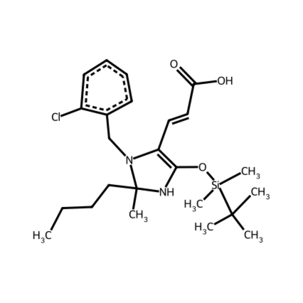 CCCCC1(C)NC(O[Si](C)(C)C(C)(C)C)=C(C=CC(=O)O)N1Cc1ccccc1Cl